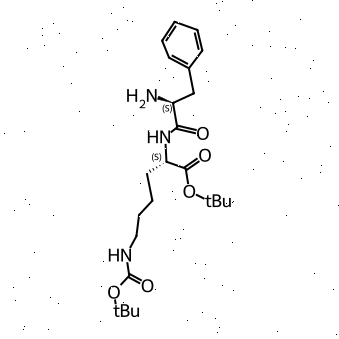 CC(C)(C)OC(=O)NCCCC[C@H](NC(=O)[C@@H](N)Cc1ccccc1)C(=O)OC(C)(C)C